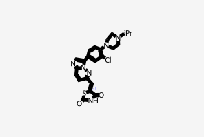 CC(C)N1CCN(c2ccc(-c3cnc4ccc(/C=C5\SC(=O)NC5=O)nn34)cc2Cl)CC1